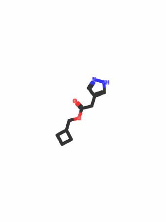 O=C(Cc1cn[nH]c1)OCC1CCC1